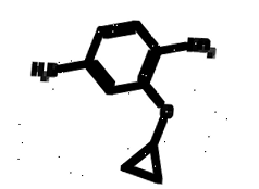 Bc1ccc([N+](=O)[O-])c(OC2CC2)c1